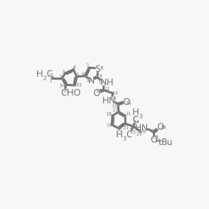 C=Cc1ccc(-c2csc(NC(=O)CNC(=O)c3cccc(C(C)(C)CNC(=O)OC(C)(C)C)c3)n2)cc1C=O